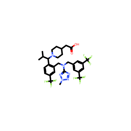 CC(C)C(c1ccc(C(F)(F)F)cc1CN(Cc1cc(C(F)(F)F)cc(C(F)(F)F)c1)c1nnn(C)n1)N1CCC(CC(=O)O)CC1